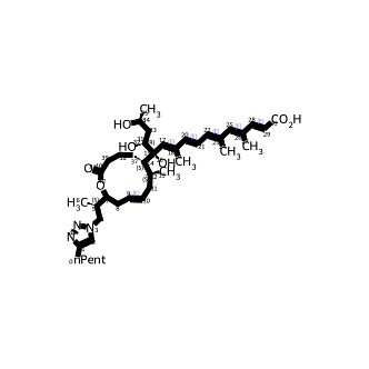 CCCCCc1cn(C[C@H](C)C2C/C=C/C[C@H](C)[C@@H]([C@](O)(/C=C(C)/C=C/C=C(C)/C=C(C)/C=C/C(=O)O)[C@H](O)C[C@H](C)O)CCCC(=O)O2)nn1